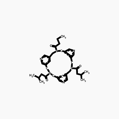 CCCC(=O)N1Cc2cncc(c2)CN(C(=O)CC(C)C)Cc2cncc(c2)CN(C(=O)CC(C)C)Cc2cncc(c2)C1